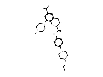 CCOC1CCN(c2ccc(NC(=O)C3CCc4cc(C(C)O)cc(N5CCN(C)CC5)c4O3)cc2)CC1